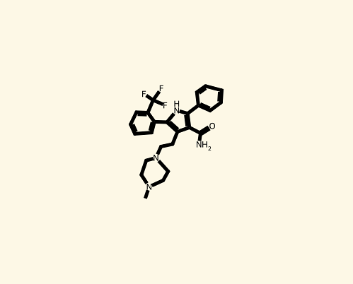 CN1CCN(CCc2c(-c3ccccc3C(F)(F)F)[nH]c(-c3ccccc3)c2C(N)=O)CC1